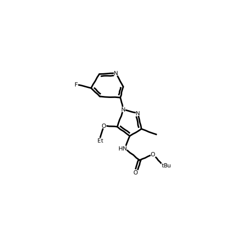 CCOc1c(NC(=O)OC(C)(C)C)c(C)nn1-c1cncc(F)c1